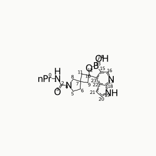 CCCNC(=O)N1CCC2(C1)CC1(C2)OB(O)c2cnc3[nH]ccc3c21